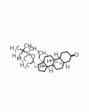 CC[C@]12CC[C@H]3[C@@H](CC[C@@H]4CC(=O)CC[C@@H]43)[C@@H]1CC[C@@H]2C(C)O[Si](C)(C)C(C)(C)C